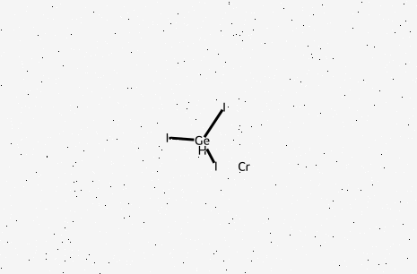 [Cr].[I][GeH]([I])[I]